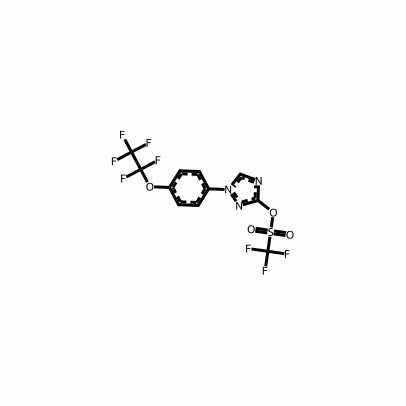 O=S(=O)(Oc1ncn(-c2ccc(OC(F)(F)C(F)(F)F)cc2)n1)C(F)(F)F